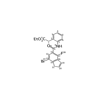 CCOC(=O)Cc1ccccc1NC(=O)c1cc(Br)c2c(c1F)C=CC2